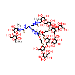 CO[C@H]1OC(CO)C(O[C@H]2OC(CNC(=S)NCCN(CCNC(=S)NCC3O[C@H](OC4C(CO)O[C@H](OC)C(O)[C@H]4O)C(O)[C@@H](O)C3C)CCNC(=S)NC(COCCCS[C@@H]3OC(CO)[C@@H](O[C@@H]4OC(CO)[C@H](O)[C@H](O)C4O)[C@H](O)C3O)(COCCCS[C@@H]3OC(CO)[C@@H](O[C@@H]4OC(CO)[C@H](O)[C@H](O)C4O)[C@H](O)C3O)COCCCS[C@@H]3OC(CO)[C@@H](O[C@@H]4OC(CO)[C@H](O)[C@H](O)C4O)[C@H](O)C3O)C(C)[C@H](O)C2O)[C@H](O)C1O